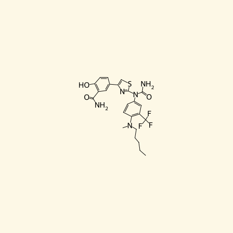 CCCCCN(C)c1ccc(N(C(N)=O)c2nc(-c3ccc(O)c(C(N)=O)c3)cs2)cc1C(F)(F)F